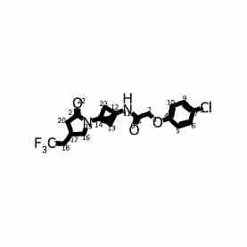 O=C(COc1ccc(Cl)cc1)NC12CC(N3CC(CC(F)(F)F)CC3=O)(C1)C2